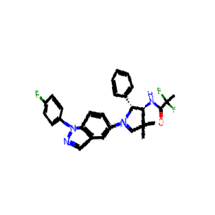 CC(F)(F)C(=O)N[C@@H]1[C@@H](c2ccccc2)N(c2ccc3c(cnn3-c3ccc(F)cc3)c2)CC1(C)C